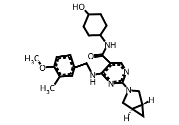 COc1ccc(CNc2nc(N3C[C@@H]4C[C@H]4C3)ncc2C(=O)NC2CCC(O)CC2)cc1C